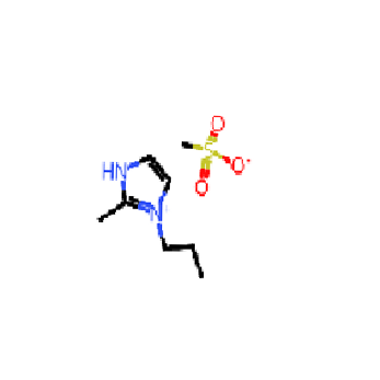 CCC[n+]1cc[nH]c1C.CS(=O)(=O)[O-]